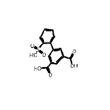 O=C(O)c1cc(C(=O)O)cc(-c2ccccc2S(=O)(=O)O)c1